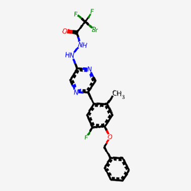 Cc1cc(OCc2ccccc2)c(F)cc1-c1cnc(NNC(=O)C(F)(F)Br)cn1